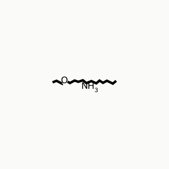 CCCCCCCCCCCCOCCC.N